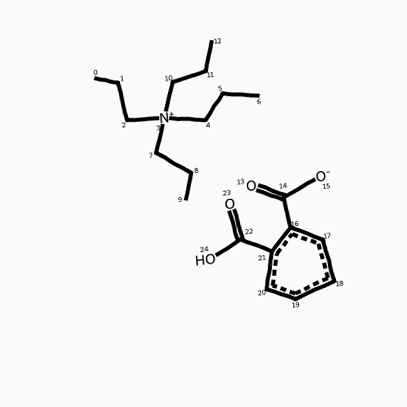 CCC[N+](CCC)(CCC)CCC.O=C([O-])c1ccccc1C(=O)O